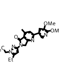 CCc1cc(N2Cc3nc(-c4cnc(OC)c(OC)c4)cc(C)c3C2=O)nn1CC(F)(F)F